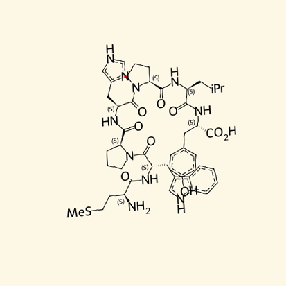 CSCC[C@H](N)C(=O)N[C@@H](Cc1c[nH]c2ccccc12)C(=O)N1CCC[C@H]1C(=O)N[C@@H](Cc1c[nH]cn1)C(=O)N1CCC[C@H]1C(=O)N[C@@H](CC(C)C)C(=O)N[C@@H](Cc1ccc(O)cc1)C(=O)O